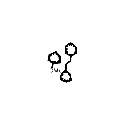 COc1ccccc1.c1ccc(CCc2ccccc2)cc1